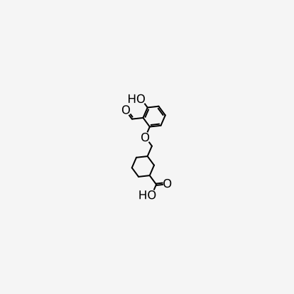 O=Cc1c(O)cccc1OCC1CCCC(C(=O)O)C1